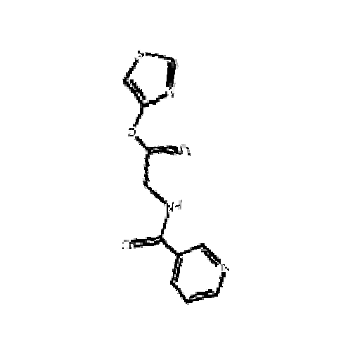 O=C(CNC(=O)c1cccnc1)Oc1cscn1